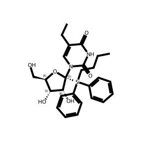 CCCC[Si](c1ccccc1)(c1ccccc1)[C@@]1(n2cc(CC)c(=O)[nH]c2=O)O[C@H](CO)[C@@H](O)[C@H]1O